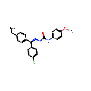 CSCc1ccc(C(=NNC(=O)Nc2ccc(OC(F)(F)F)cc2)c2ccc(Cl)cc2)cc1